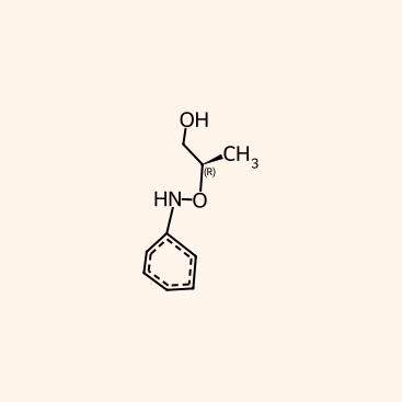 C[C@H](CO)ONc1ccccc1